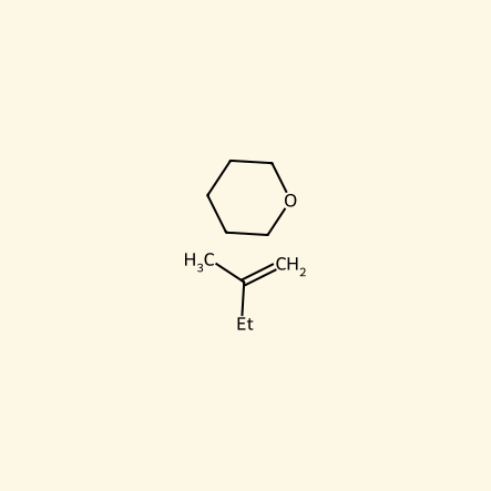 C1CCOCC1.C=C(C)CC